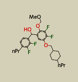 CCCc1ccc(C(O)c2cc(OCC3CCC(CCC)CC3)c(F)c(F)c2OCOC)c(F)c1F